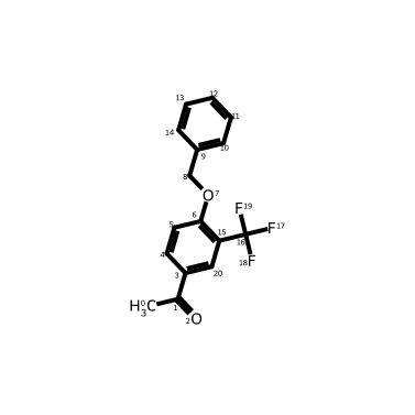 CC(=O)c1ccc(OCc2ccccc2)c(C(F)(F)F)c1